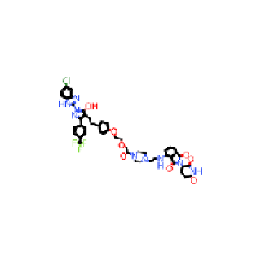 O=C1CCC(N2C(=O)c3cccc(NCCN4CCN(C(=O)COCCOc5ccc(CCc6c(-c7ccc(C(F)(F)F)cc7)nn(-c7nc8cc(Cl)ccc8[nH]7)c6O)cc5)CC4)c3C2=O)C(=O)N1